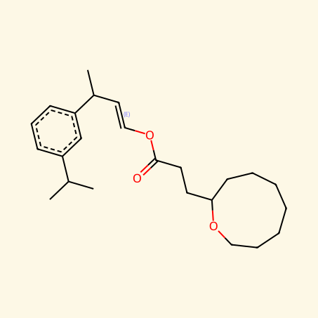 CC(C)c1cccc(C(C)/C=C/OC(=O)CCC2CCCCCCCO2)c1